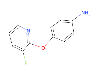 Nc1ccc(Oc2ncccc2F)cc1